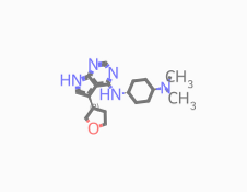 CN(C)[C@H]1CC[C@H](Nc2ncnc3[nH]cc([C@H]4CCOC4)c23)CC1